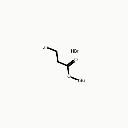 Br.CC(C)(C)OC(=O)C[CH2][Zn]